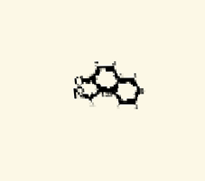 c1ccc2c(c1)ccc1oncc12